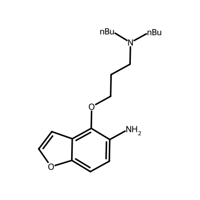 CCCCN(CCCC)CCCOc1c(N)ccc2occc12